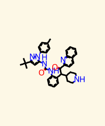 Cc1ccc(-n2nc(C(C)(C)C)cc2NC(=O)Nc2ccccc2C(C(=O)c2ccc3ccccc3n2)C2CCNCC2)cc1